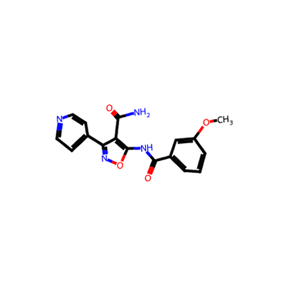 COc1cccc(C(=O)Nc2onc(-c3ccncc3)c2C(N)=O)c1